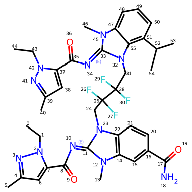 CCn1nc(C)cc1C(=O)/N=c1\n(C)c2cc(C(N)=O)ccc2n1CC(F)(F)C(F)(F)Cn1/c(=N/C(=O)c2cc(C)nn2CC)n(C)c2cccc(C(C)C)c21